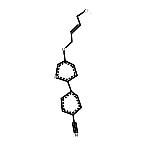 CC/C=C/COc1ccc(-c2ccc(C#N)cc2)nc1